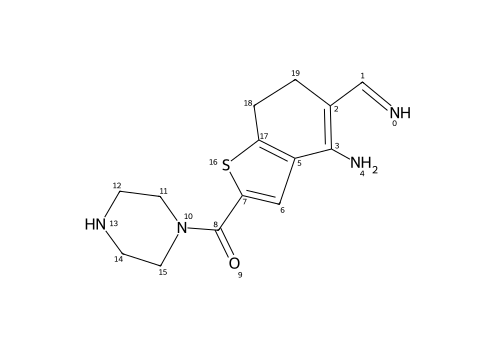 N=CC1=C(N)c2cc(C(=O)N3CCNCC3)sc2CC1